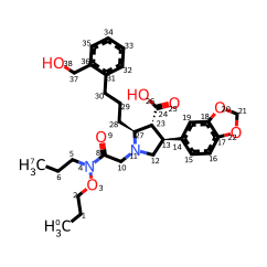 CCCON(CCC)C(=O)CN1C[C@H](c2ccc3c(c2)OCO3)[C@@H](C(=O)O)[C@@H]1CCCc1ccccc1CO